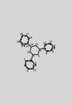 c1ccc(C2CC(c3ccncc3)CC(c3ccccn3)C2)nc1